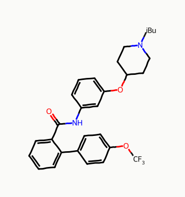 CCC(C)N1CCC(Oc2cccc(NC(=O)c3ccccc3-c3ccc(OC(F)(F)F)cc3)c2)CC1